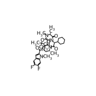 C[C@@H]1CN(C(=O)c2cc3cc(F)c(F)cc3n2C)CCN1C(=O)[C@@H](NC(=O)[C@H](C)N(C)C(=O)OC(C)(C)C)C1CCCCC1